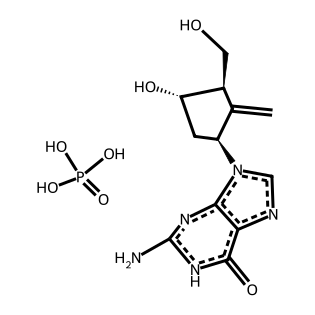 C=C1[C@H](CO)[C@@H](O)C[C@@H]1n1cnc2c(=O)[nH]c(N)nc21.O=P(O)(O)O